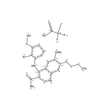 CCc1c(CO)cccc1Nc1c(C(N)=O)cnc2cc(OCCOC(C)=O)c(OC)cc12.O=C(O)C(F)(F)F